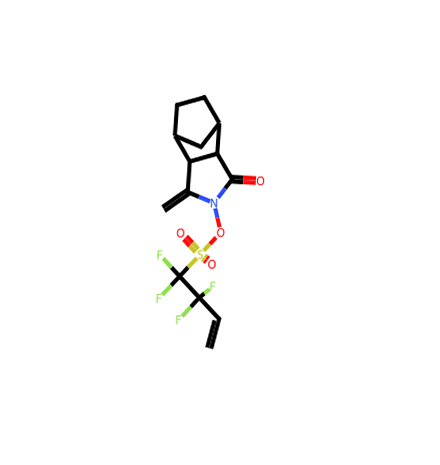 C=CC(F)(F)C(F)(F)S(=O)(=O)ON1C(=C)C2C3CCC(C3)C2C1=O